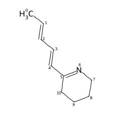 CC=CC=CC1=NCCCC1